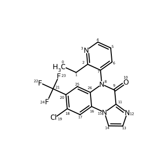 CCc1ncccc1-n1c(=O)c2nccn2c2cc(Cl)c(C(F)(F)F)cc21